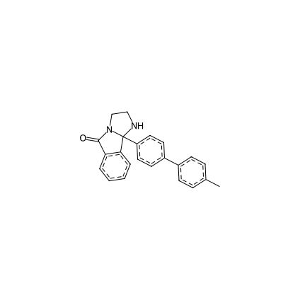 Cc1ccc(-c2ccc(C34NCCN3C(=O)c3ccccc34)cc2)cc1